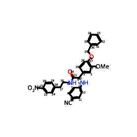 COc1cc([C@H](Nc2ccc(C#N)cc2)C(=O)NCCc2ccc([N+](=O)[O-])cc2)ccc1OCc1ccccc1